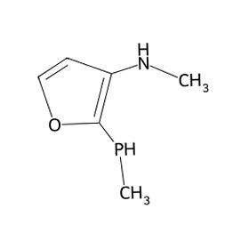 CNc1ccoc1PC